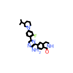 CC(C)C1CCCN(c2ccc(-c3cnc(N)c(-c4ccc5c(c4)CCNC5=O)n3)c(F)c2)C1